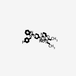 CCCN(CCC)C(O)n1c(N(C)C2CCN(c3nc4ccccc4n3Cc3ccc(F)cc3)CC2)nccc1=O